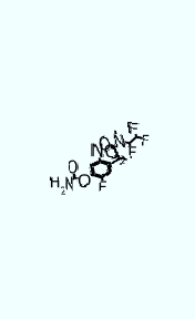 CC(C(=O)N(C)C(F)C(F)F)c1cc(F)c(OC(N)=O)cc1[N+](=O)[O-]